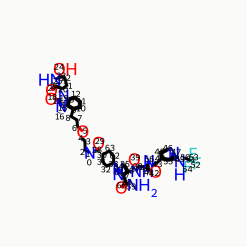 CN(CCCOCCCc1cccc2c1n(C)c(=O)n2C1CCC(O)NC1=O)C(=O)[C@H]1CC[C@H](n2cc(NC(=O)c3coc(-c4ccnc(NCC(F)(F)F)c4)n3)c(C(N)=O)n2)CC1